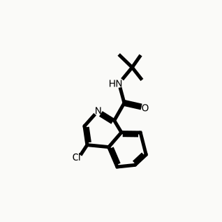 CC(C)(C)NC(=O)c1ncc(Cl)c2ccccc12